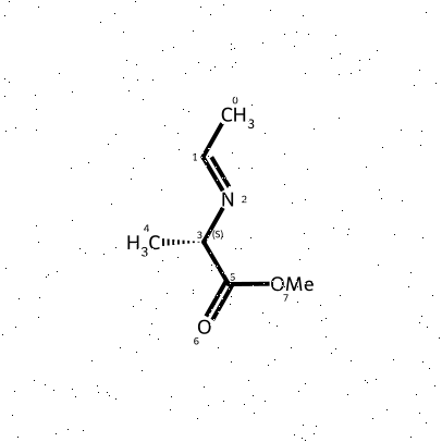 CC=N[C@@H](C)C(=O)OC